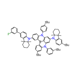 CC(C)(C)c1ccc(N2c3ccc(N4c5ccc(-c6cccc(F)c6)cc5C5(C)CCCCC45C)cc3B3c4ccc(C(C)(C)C)cc4N(c4cccc(C(C)(C)C)c4)c4cc(N5c6ccc(C(C)(C)C)cc6C6(C)CCCCC56C)cc2c43)cc1